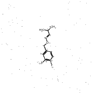 CC(C)C=NOCc1ccc(F)c(F)c1